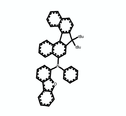 CC(C)(C)C1(C(C)(C)C)c2ccc3ccccc3c2-c2c1cc(N(c1ccccc1)c1cccc3c1oc1ccccc13)c1ccccc21